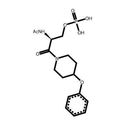 CC(=O)N[C@@H](COP(=O)(O)O)C(=O)N1CCC(Oc2ccccc2)CC1